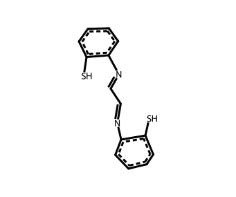 Sc1ccccc1N=CC=Nc1ccccc1S